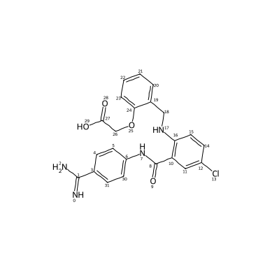 N=C(N)c1ccc(NC(=O)c2cc(Cl)ccc2NCc2ccccc2OCC(=O)O)cc1